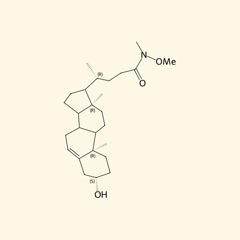 CON(C)C(=O)CC[C@@H](C)C1CCC2C3CC=C4C[C@@H](O)CC[C@]4(C)C3CC[C@@]21C